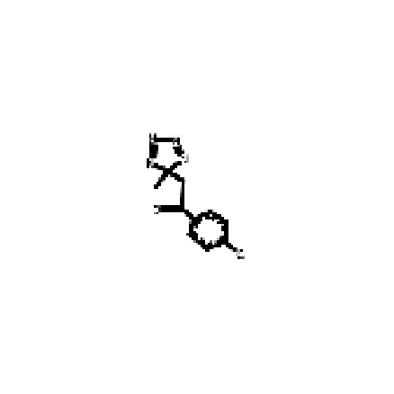 CC1(CC(=O)c2ccc(Cl)cc2)N=NN=N1